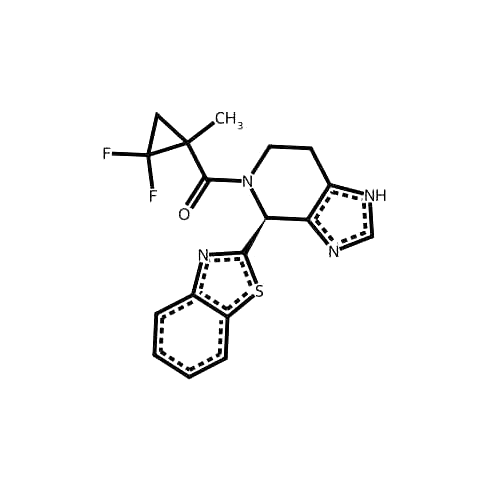 CC1(C(=O)N2CCc3[nH]cnc3[C@H]2c2nc3ccccc3s2)CC1(F)F